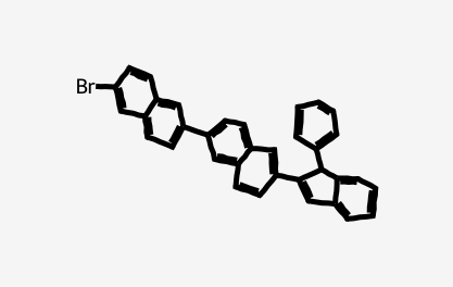 Brc1ccc2cc(-c3ccc4cc(C5=Cc6ccccc6C5c5ccccc5)ccc4c3)ccc2c1